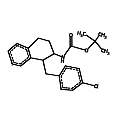 CC(C)(C)OC(=O)NC1CCc2cc[c]cc2C1Cc1ccc(Cl)cc1